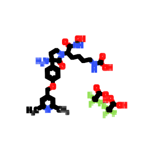 Cc1cc(COc2ccc(C3(N)CCN(C(CCCCNC(=O)O)C(=O)NO)C3=O)cc2)cc(C)n1.O=C(O)C(F)(F)F.O=C(O)C(F)(F)F